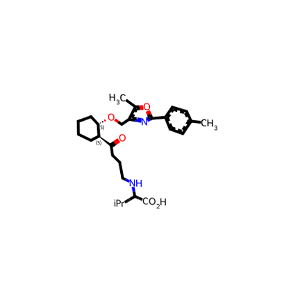 Cc1ccc(-c2nc(CO[C@H]3CCCC[C@@H]3C(=O)CCCNC(C(=O)O)C(C)C)c(C)o2)cc1